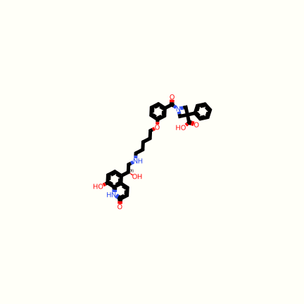 O=C(c1cccc(OCCCCCNC[C@H](O)c2ccc(O)c3[nH]c(=O)ccc23)c1)N1CC(C(=O)O)(c2ccccc2)C1